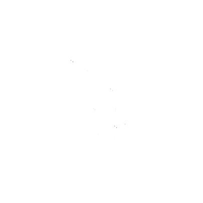 C=C(C(=O)O)/C(=C\NN)Cn1c(C)c(C#N)c(-c2ccc(C#N)cc2)c1C